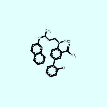 CC(CCN(C=O)c1ccc(-c2ccccc2Cl)cc1C(N)=O)Oc1ccc2ccccc2n1